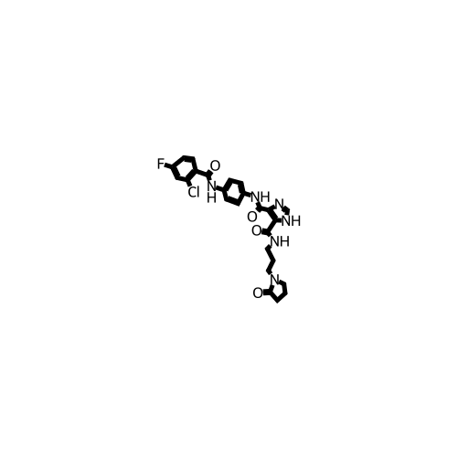 O=C(Nc1ccc(NC(=O)c2nc[nH]c2C(=O)NCCCN2CCCC2=O)cc1)c1ccc(F)cc1Cl